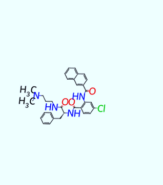 CN(C)CCCNC(=O)[C@H](Cc1ccccc1)NC(=O)c1ccc(Cl)cc1NC(=O)c1ccc2ccccc2c1